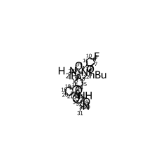 CCCCC(=O)[N+](Cc1ccc(F)cc1)(Cc1ccc(-c2ccccc2S(=O)(=O)Nc2onc(C)c2C)cc1)[C@H](C(N)=O)C(C)C